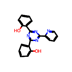 Oc1ccccc1-c1nc(-c2ccccn2)nc(-c2ccccc2O)n1